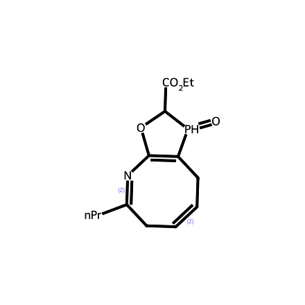 CCC/C1=N/C2=C(C/C=C\C1)[PH](=O)C(C(=O)OCC)O2